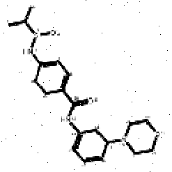 CC(C)[S+]([O-])NC1=CC=C(C(=O)NC2=CC=CC(N3CCOCC3)C2)CC1